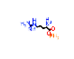 N=C(N)NCCC[C@H](N)C(=O)OP